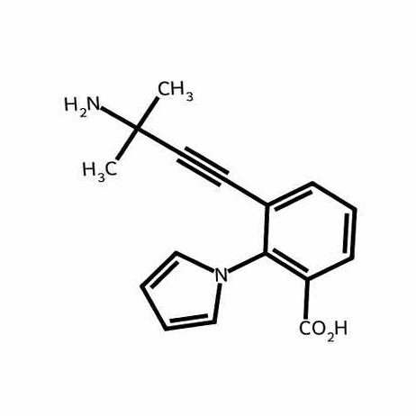 CC(C)(N)C#Cc1cccc(C(=O)O)c1-n1cccc1